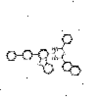 c1ccc(-c2ccc(-c3ccc(C4NC(c5ccc6ccccc6c5)=NC(c5ccccc5)N4)c4c3oc3ccccc34)cc2)cc1